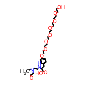 CCN(CC=O)CCNC(Cc1ccc(OCCOCCOCCOCCOCCOCCOCCO)cc1)C(=O)O